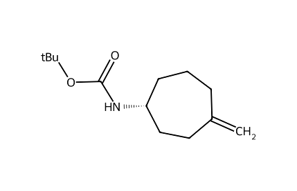 C=C1CCC[C@@H](NC(=O)OC(C)(C)C)CC1